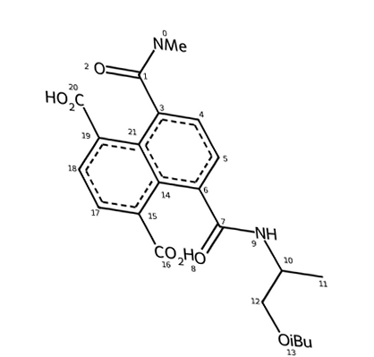 CNC(=O)c1ccc(C(=O)NC(C)COCC(C)C)c2c(C(=O)O)ccc(C(=O)O)c12